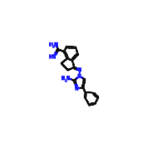 N=C(N)c1cccc2c1CCC2=Nn1cc(-c2ccccc2)nc1N